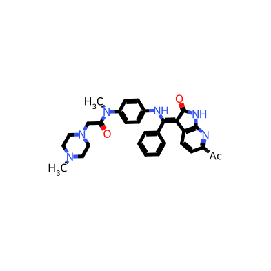 CC(=O)c1ccc2c(n1)NC(=O)/C2=C(\Nc1ccc(N(C)C(=O)CN2CCN(C)CC2)cc1)c1ccccc1